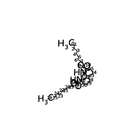 CCCCCCCCOC(=O)NC1(CC2(NC(=O)OCCCCCCCC)CCCCC2)CCCCC1